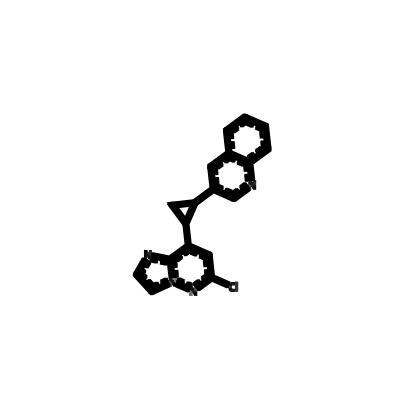 Clc1cc(C2CC2c2cnc3ccccc3c2)c2nccn2n1